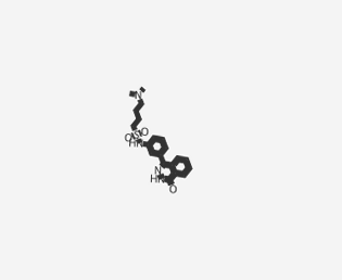 CN(C)CCCCS(=O)(=O)Nc1cccc(-c2n[nH]c(=O)c3ccccc23)c1